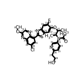 COc1cnc2c(-c3nc4cc(F)c(OC(C)C(C)N(C(=O)O)c5ccc(CCO)nc5)cc4s3)cc(Cl)cc2n1